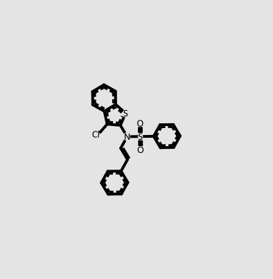 O=S(=O)(c1ccccc1)N(C=Cc1ccccc1)c1sc2ccccc2c1Cl